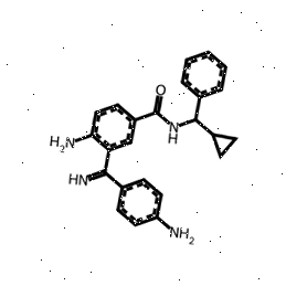 N=C(c1ccc(N)cc1)c1cc(C(=O)NC(c2ccccc2)C2CC2)ccc1N